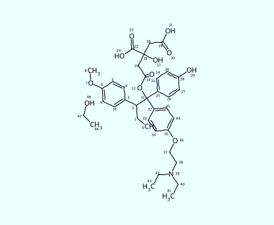 CCC(c1ccc(OC)cc1)C(OC(=O)CC(O)(CC(=O)O)C(=O)O)(c1ccc(O)cc1)c1ccc(OCCN(CC)CC)cc1.CCO